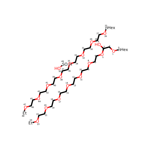 CCCCCCOCC(O)OCCOCCOCCOCCOCCOCCOCC.CCCCCCOCCOCCOCCOCCOCCOCCOCCOCC.O=S(=O)(O)O